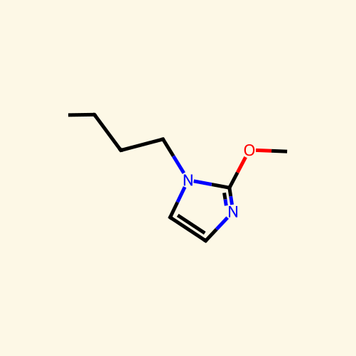 CCCCn1ccnc1OC